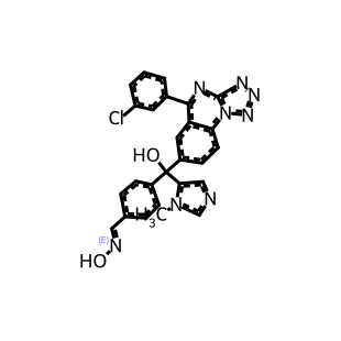 Cn1cncc1C(O)(c1ccc(/C=N/O)cc1)c1ccc2c(c1)c(-c1cccc(Cl)c1)nc1nnnn12